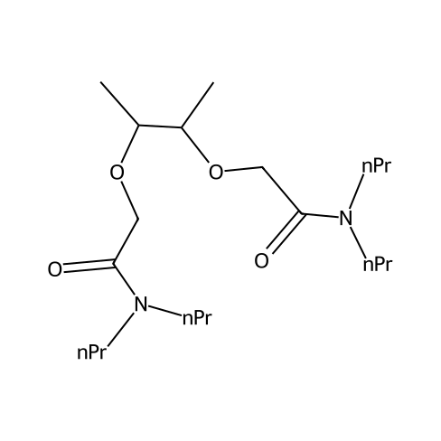 CCCN(CCC)C(=O)COC(C)C(C)OCC(=O)N(CCC)CCC